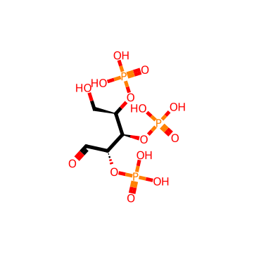 O=C[C@@H](OP(=O)(O)O)[C@H](OP(=O)(O)O)[C@@H](CO)OP(=O)(O)O